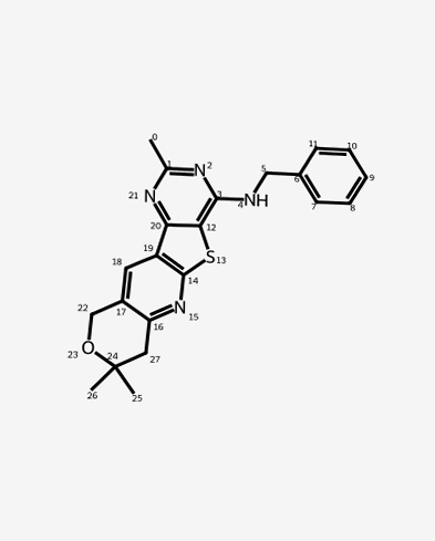 Cc1nc(NCc2ccccc2)c2sc3nc4c(cc3c2n1)COC(C)(C)C4